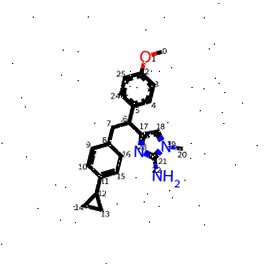 COc1ccc(C(CC2C=CC(C3CC3)=CC2)c2cn(C)c(N)n2)cc1